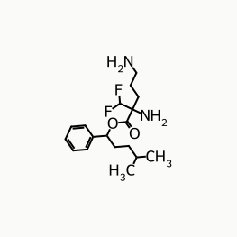 CC(C)CCC(OC(=O)C(N)(CCCN)C(F)F)c1ccccc1